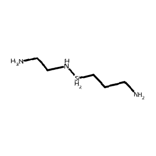 NCCC[SiH2]NCCN